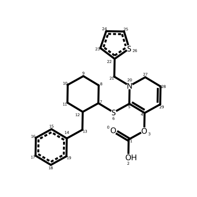 O=C(O)OC1=C(SC2CCCCC2Cc2ccccc2)N(Cc2cccs2)CC=C1